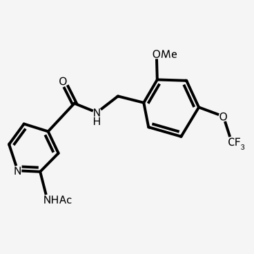 COc1cc(OC(F)(F)F)ccc1CNC(=O)c1ccnc(NC(C)=O)c1